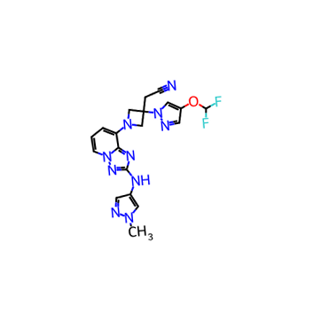 Cn1cc(Nc2nc3c(N4CC(CC#N)(n5cc(OC(F)F)cn5)C4)cccn3n2)cn1